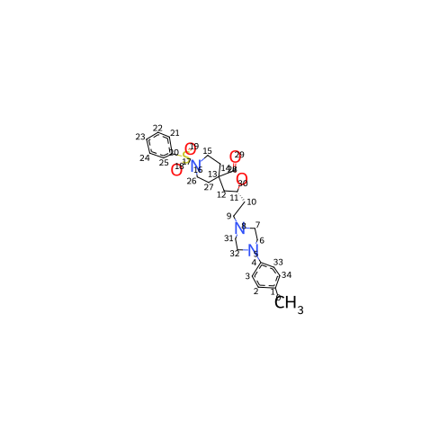 Cc1ccc(N2CCN(CC[C@@H]3CC4(CCN(S(=O)(=O)c5ccccc5)CC4)C(=O)O3)CC2)cc1